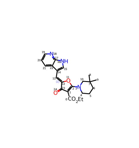 CCOC(=O)C1=C(N2CCCC(C)(C)C2)O/C(=C\c2c[nH]c3ncccc23)C1=O